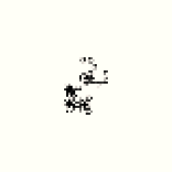 O=c1c2cc(-c3ccc(-c4nc(-c5ccccc5)nc(-c5cc6c7ccccc7c(=O)n7c8ccc(-c9nc(-c%10ccccc%10)nc(-c%10ccccc%10)n9)cc8c(c5)c67)n4)cc3)ccc2c2cc(-c3cccc(-c4cccc(-c5ccccc5)c4)c3)cc3c4cc(-c5cccc(-c6cccc(-c7ccccc7)c6)c5)ccc4n1c23